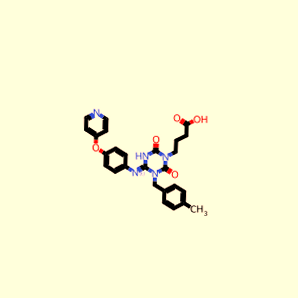 Cc1ccc(Cn2c(=O)n(CCCC(=O)O)c(=O)[nH]/c2=N\c2ccc(Oc3ccncc3)cc2)cc1